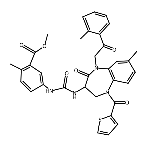 COC(=O)c1cc(NC(=O)NC2CN(C(=O)c3cccs3)c3ccc(C)cc3N(CC(=O)c3ccccc3C)C2=O)ccc1C